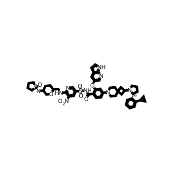 O=C(NS(=O)(=O)c1cnc(NCC2CCC(N=S3(=O)CCCC3)CO2)c([N+](=O)[O-])c1)c1ccc(N2CCC3(CC2)CC(N2CCC[C@@H]2c2ccccc2C2CC2)C3)cc1Oc1cnc2[nH]ccc2c1